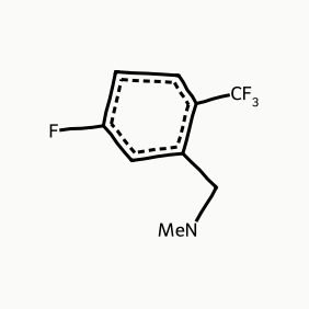 CNCc1cc(F)ccc1C(F)(F)F